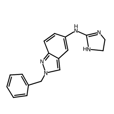 c1ccc(Cn2cc3cc(NC4=NCCN4)ccc3n2)cc1